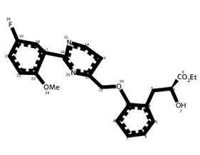 CCOC(=O)[C@@H](O)Cc1ccccc1OCc1ccnc(-c2cc(F)ccc2OC)n1